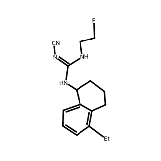 CCc1cccc2c1CCCC2NC(=NC#N)NCCF